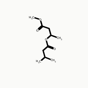 COC(=O)CC(C)OC(=O)CC(C)C